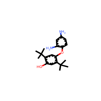 CC(C)(C)c1cc(Oc2ccc(N)cc2N)c(C(C)(C)C)cc1O